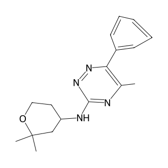 Cc1nc(NC2CCOC(C)(C)C2)nnc1-c1ccccc1